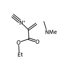 C#[N+]C(=C)C(=O)OCC.CNC